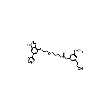 OCCc1cc(CNCCCCOCCOc2cc(-c3cnns3)cc3[nH]ncc23)cc(OC(F)(F)F)c1